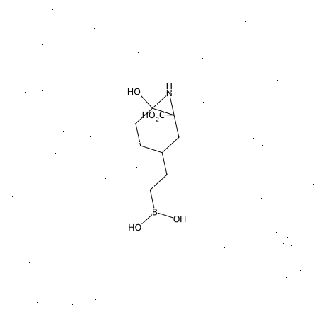 O=C(O)C12CC(CCB(O)O)CCC1(O)N2